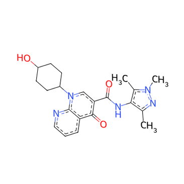 Cc1nn(C)c(C)c1NC(=O)c1cn(C2CCC(O)CC2)c2ncccc2c1=O